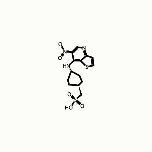 O=[N+]([O-])c1cnc2ccsc2c1N[C@H]1CC[C@H](CS(=O)(=O)O)CC1